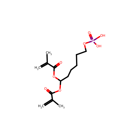 C=C(C)C(=O)OC(CCCCCOP(=O)(O)O)OC(=O)C(=C)C